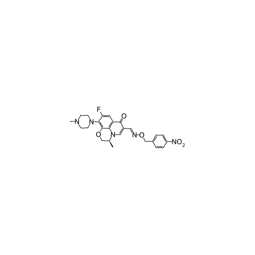 C[C@H]1COc2c(N3CCN(C)CC3)c(F)cc3c(=O)c(/C=N/OCc4ccc([N+](=O)[O-])cc4)cn1c23